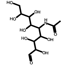 CC(=O)NC(C(O)C(O)C(O)C=O)C(O)C(O)C(O)CO